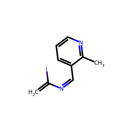 C=C(I)/N=C\c1cccnc1C